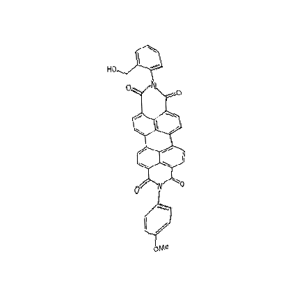 COc1ccc(N2C(=O)c3ccc4c5ccc6c7c(ccc(c8ccc(c3c48)C2=O)c75)C(=O)N(c2ccccc2CO)C6=O)cc1